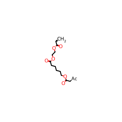 C=CC(=O)OCCOC(=O)CCCCCOC(=O)CC(C)=O